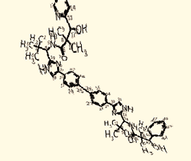 CC(C)(C)C(NC(=O)C(C)(C)C(O)c1ccccn1)c1nc(-c2ccc(-c3ccc(-c4c[nH]c(C(NC(=O)C(C)(C)C(O)c5ccccn5)C(C)(C)C)n4)cc3)cc2)c[nH]1